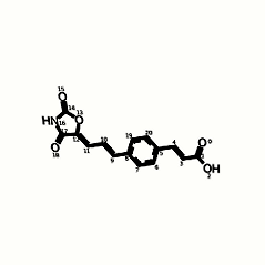 O=C(O)/C=C/c1ccc(/C=C/C=C2\OC(=O)NC2=O)cc1